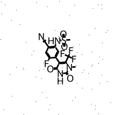 Cn1c(C(F)(F)F)c(-c2cc(NS(C)(=O)=O)c(C#N)cc2F)c(=O)[nH]c1=O